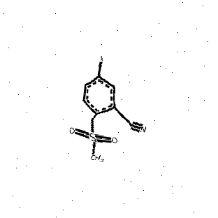 CS(=O)(=O)c1ccc(I)cc1C#N